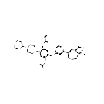 C=CC(=O)Nc1cc(Nc2cc(C3=Cc4cnn(C)c4C=CC3)ncn2)c(OC(F)F)cc1N1CCN(C2CCOCC2)CC1